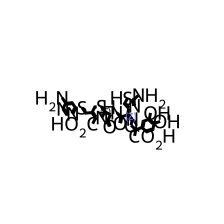 Nc1cc(SCC2=C(C(=O)O)N3C(=O)C(NC(=O)/C(=N\OC(C(=O)O)c4ccc(O)c(O)c4)c4csc(N)n4)[C@@H]3SC2)ncn1